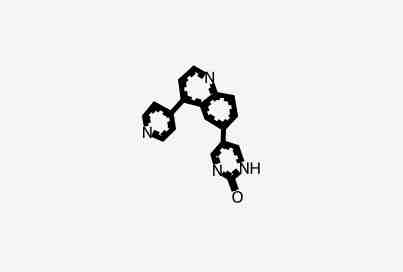 O=c1ncc(-c2ccc3nccc(-c4ccncc4)c3c2)c[nH]1